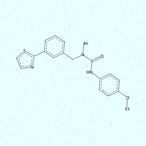 CCOc1ccc(NC(=O)N(Cc2cccc(-c3nccs3)c2)C(C)C)cc1